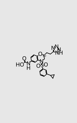 O=C(O)Nc1ccc2c(c1)N(S(=O)(=O)c1cccc(C3CC3)c1)C[C@H](CCc1nnn[nH]1)O2